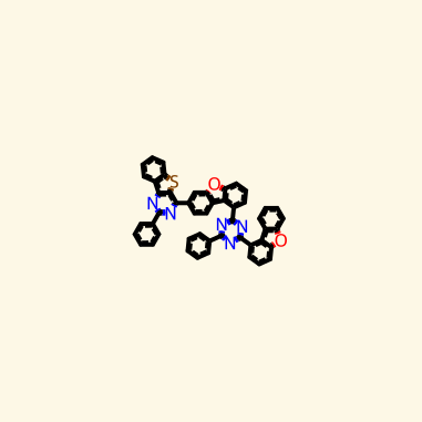 c1ccc(-c2nc(-c3cccc4oc5ccccc5c34)nc(-c3cccc4oc5cc(-c6nc(-c7ccccc7)nc7c6sc6ccccc67)ccc5c34)n2)cc1